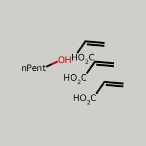 C=CC(=O)O.C=CC(=O)O.C=CC(=O)O.CCCCCO